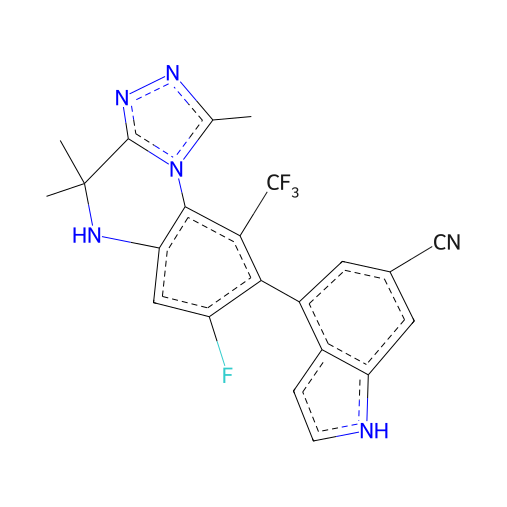 Cc1nnc2n1-c1c(cc(F)c(-c3cc(C#N)cc4[nH]ccc34)c1C(F)(F)F)NC2(C)C